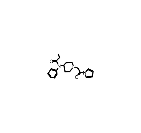 CCC(=O)N(c1ccccc1)C1CCN(CC(=O)n2cccc2)CC1